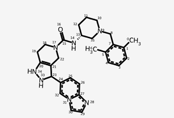 Cc1cccc(C)c1CN1CCC[C@@H](NC(=O)N2CCC3=C(C2)C(c2ccc4nccn4c2)NN3)C1